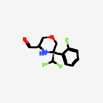 O=CC1COC[C@](c2ccccc2F)(C(F)F)N1